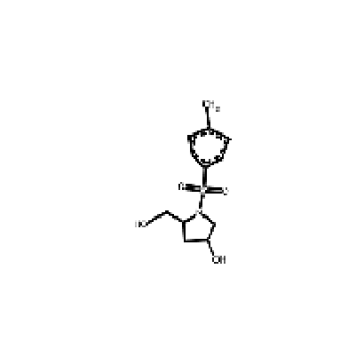 Cc1ccc(S(=O)(=O)N2CC(O)CC2CO)cc1